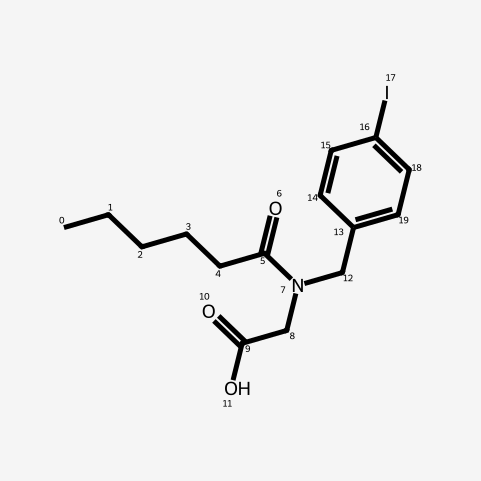 CCCCCC(=O)N(CC(=O)O)Cc1ccc(I)cc1